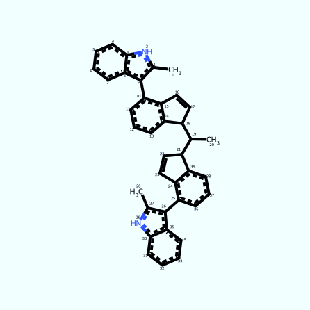 Cc1[nH]c2ccccc2c1-c1cccc2c1C=CC2C(C)C1C=Cc2c(-c3c(C)[nH]c4ccccc34)cccc21